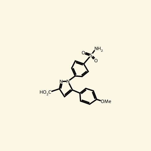 COc1ccc(-c2cc(C(=O)O)nn2-c2ccc(S(N)(=O)=O)cc2)cc1